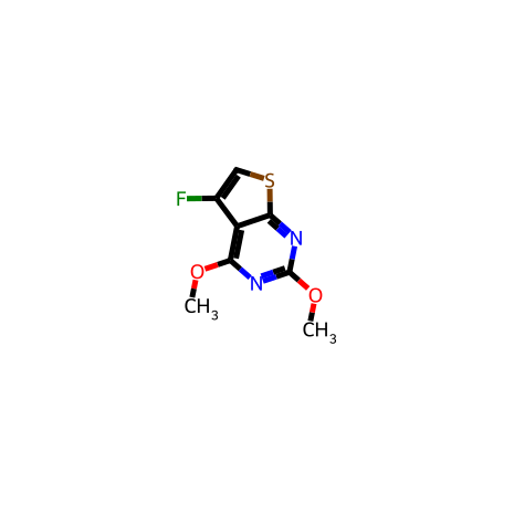 COc1nc(OC)c2c(F)csc2n1